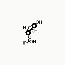 CC(C)C(O)COc1cccc(C(C)(C)c2ccc(O)cc2)c1